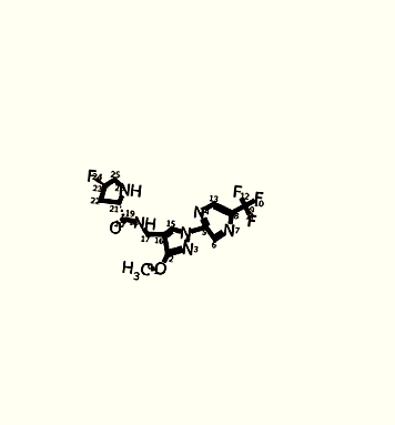 COc1nn(-c2cnc(C(F)(F)F)cn2)cc1CNC(=O)[C@@H]1C[C@@H](F)CN1